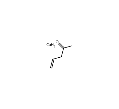 C=CCC(C)=O.[CaH2]